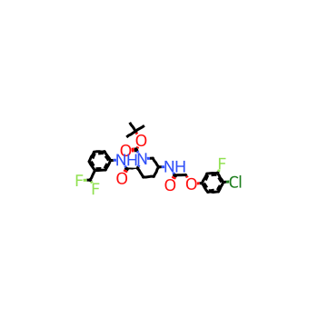 CC(C)(C)OC(=O)N1CC(NC(=O)COc2ccc(Cl)c(F)c2)CC[C@H]1C(=O)Nc1cccc(C(F)F)c1